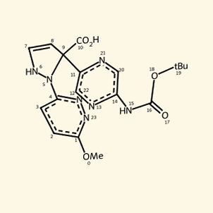 COc1ccc(N2NC=CC2(C(=O)O)c2cnc(NC(=O)OC(C)(C)C)cn2)nn1